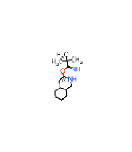 CC(C)(C)C(=N)O[C@@H]1CC2CCCCC2CN1